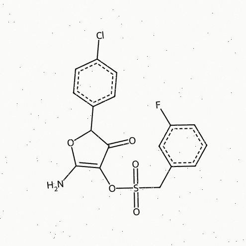 NC1=C(OS(=O)(=O)Cc2cccc(F)c2)C(=O)C(c2ccc(Cl)cc2)O1